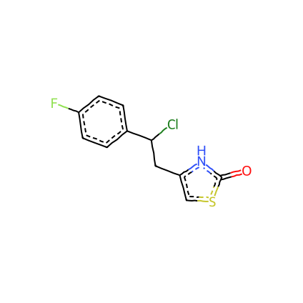 O=c1[nH]c(CC(Cl)c2ccc(F)cc2)cs1